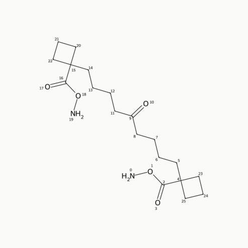 NOC(=O)C1(CCCCC(=O)CCCCC2(C(=O)ON)CCC2)CCC1